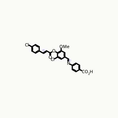 COc1cc(/C=N/c2ccc(C(=O)O)cc2)cc(Cl)c1OC(=O)/C=C/c1ccc(Cl)cc1